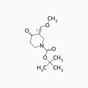 CO/C=C1\CN(C(=O)OC(C)(C)C)CCC1=O